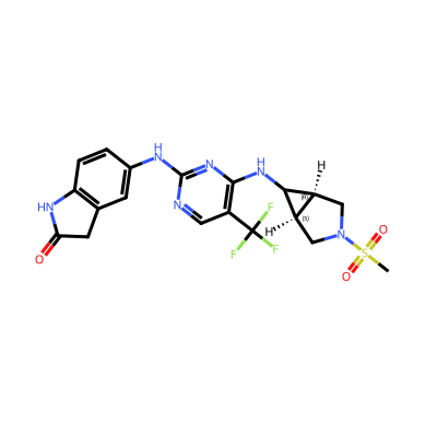 CS(=O)(=O)N1C[C@@H]2C(Nc3nc(Nc4ccc5c(c4)CC(=O)N5)ncc3C(F)(F)F)[C@@H]2C1